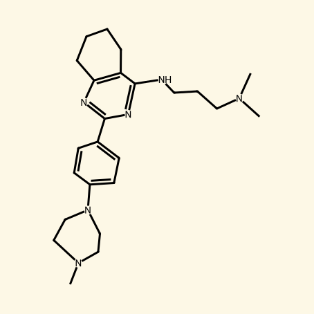 CN(C)CCCNc1nc(-c2ccc(N3CCN(C)CC3)cc2)nc2c1CCCC2